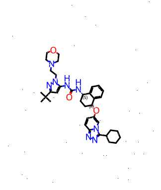 CC(C)(C)c1cc(NC(=O)N[C@H]2CC[C@@H](Oc3ccc4nnc(C5CCCCC5)n4c3)c3ccccc32)n(CCN2CCOCC2)n1